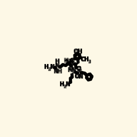 Cc1cc(O)cc(C)c1C[C@H](NC(=O)[C@H](N)CCCNC(=N)N)C(=O)N[C@@H](CCCCN)c1nc(CC2CCCCC2)no1